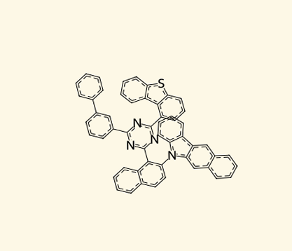 c1ccc(-c2cccc(-c3nc(-c4c(-n5c6ccccc6c6cc7ccccc7cc65)ccc5ccccc45)nc(-c4cccc5sc6ccccc6c45)n3)c2)cc1